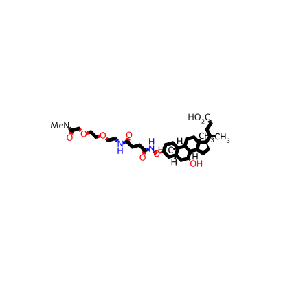 CNC(=O)COCCOCCNC(=O)CCC(=O)NO[C@H]1CC[C@@]2(C)[C@@H](C1)C[C@H](O)[C@H]1C3CC[C@H]([C@H](C)CCC(=O)O)[C@@]3(C)CC[C@@H]12